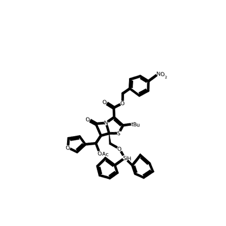 CC(=O)OC(c1ccoc1)C1C(=O)N2C(C(=O)OCc3ccc([N+](=O)[O-])cc3)=C(C(C)(C)C)S[C@]12CO[SiH](c1ccccc1)c1ccccc1